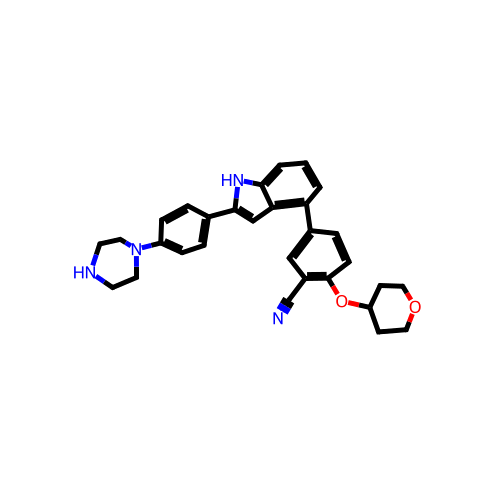 N#Cc1cc(-c2cccc3[nH]c(-c4ccc(N5CCNCC5)cc4)cc23)ccc1OC1CCOCC1